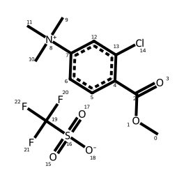 COC(=O)c1ccc([N+](C)(C)C)cc1Cl.O=S(=O)([O-])C(F)(F)F